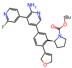 CC(C)(C)OC(=O)N1CCC[C@H]1c1cc(-c2cnc(N)c(-c3ccnc(F)c3)c2)ccc1C1=CCOC1